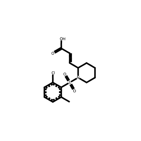 Cc1cccc(Cl)c1S(=O)(=O)N1CCCCC1C=CC(=O)O